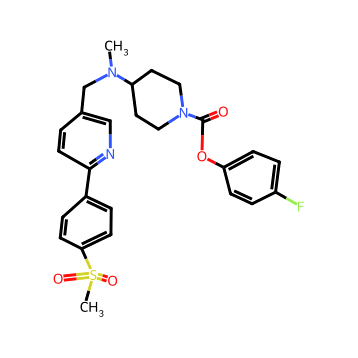 CN(Cc1ccc(-c2ccc(S(C)(=O)=O)cc2)nc1)C1CCN(C(=O)Oc2ccc(F)cc2)CC1